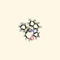 C1=C\COc2ccccc2N(c2cccc3cccc(Sc4ccccc4)c23)C\C=C/1